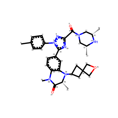 Cc1ccc(-n2nc(C(=O)N3C[C@@H](C)N[C@@H](C)C3)nc2-c2ccc3c(c2)N(C2CC4(COC4)C2)[C@H](C)C(=O)N3C)cc1